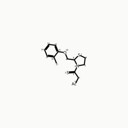 CC(=O)CC(=S)N1CCSC1COc1ccccc1C